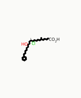 CC(/C=C/C=C/C(=O)O)=C\C=C\C=C(/Cl)[C@@H](C)CC[C@H](O)CC/C=C/C=C/c1ccccc1